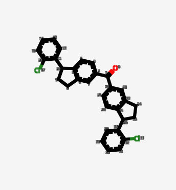 O=C(c1ccc2c(c1)CCC2c1ccccc1Cl)c1ccc2c(c1)CCC2c1ccccc1Cl